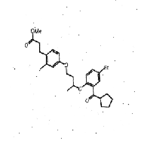 CCc1ccc(OC(C)CCOc2ccc(CCC(=O)OC)c(C)c2)c(C(=O)C2CCCC2)c1